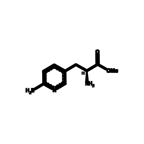 Bc1ccc(C[C@H](N)C(=O)OC)cn1